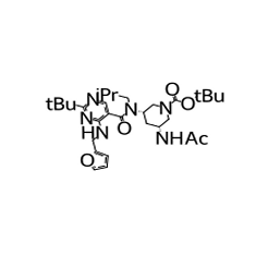 CC(=O)N[C@@H]1C[C@H](N(CC(C)C)C(=O)c2cnc(C(C)(C)C)nc2NCc2ccco2)CN(C(=O)OC(C)(C)C)C1